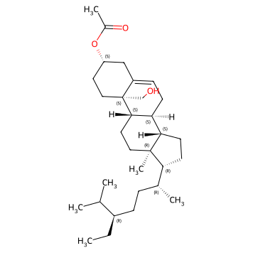 CC[C@H](CC[C@@H](C)[C@H]1CC[C@H]2[C@@H]3CC=C4C[C@@H](OC(C)=O)CC[C@]4(CO)[C@H]3CC[C@]12C)C(C)C